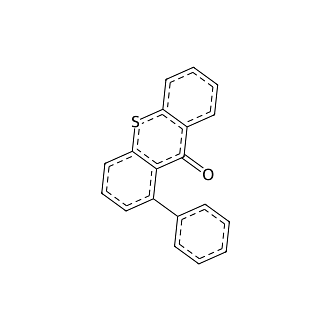 O=c1c2ccccc2sc2cccc(-c3ccccc3)c12